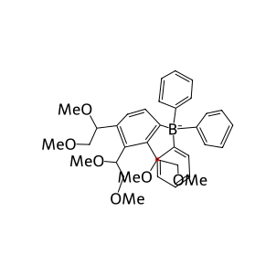 COCC(OC)c1ccc([B-](c2ccccc2)(c2ccccc2)c2ccccc2)c(C(COC)OC)c1C(COC)OC